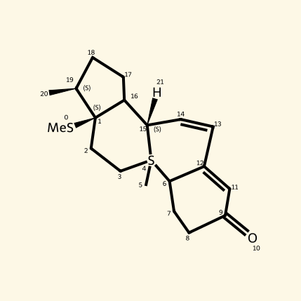 CS[C@]12CCS3(C)C4CCC(=O)C=C4C=C[C@H]3C1CC[C@@H]2C